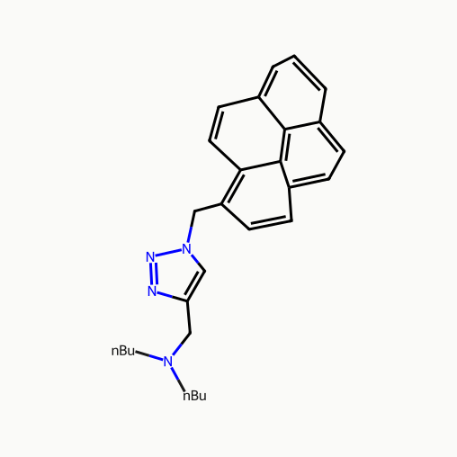 CCCCN(CCCC)Cc1cn(Cc2ccc3ccc4cccc5ccc2c3c45)nn1